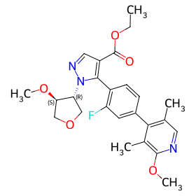 CCOC(=O)c1cnn([C@@H]2COC[C@H]2OC)c1-c1ccc(-c2c(C)cnc(OC)c2C)cc1F